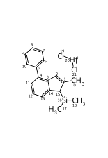 CC1=Cc2c(-c3ccccc3)cccc2C1[Si](C)C.[Cl][Hf][Cl]